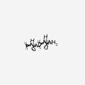 NC(=O)NC1CN(C(=O)NC2CC2)C1